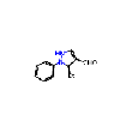 CCC1C(C=O)=CNN1c1ccccc1